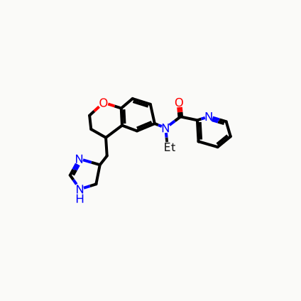 CCN(C(=O)c1ccccn1)c1ccc2c(c1)C(CC1CNC=N1)CCO2